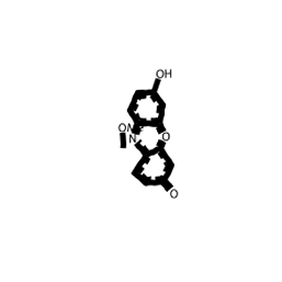 COC.O=c1ccc2nc3ccc(O)cc3oc-2c1